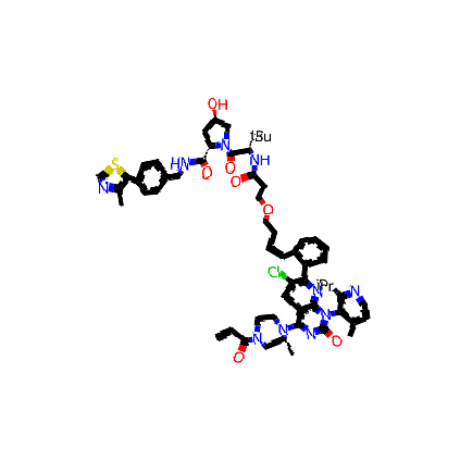 C=CC(=O)N1CCN(c2nc(=O)n(-c3c(C)ccnc3C(C)C)c3nc(-c4ccccc4/C=C\CCOCCC(=O)N[C@H](C(=O)N4C[C@H](O)C[C@H]4C(=O)NCc4ccc(-c5scnc5C)cc4)C(C)(C)C)c(Cl)cc23)[C@@H](C)C1